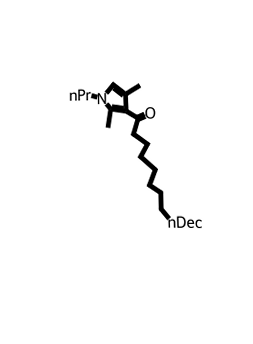 CCCCCCCCCCCCCCCCCC(=O)c1c(C)cn(CCC)c1C